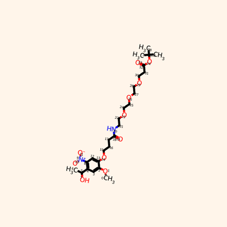 COc1cc(C(C)O)c([N+](=O)[O-])cc1OCCCC(=O)NCCOCCOCCOCCC(=O)OC(C)(C)C